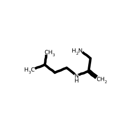 C=C(CN)NCCC(C)C